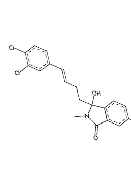 CN1C(=O)c2cc(Br)ccc2C1(O)CCC=Cc1ccc(Cl)c(Cl)c1